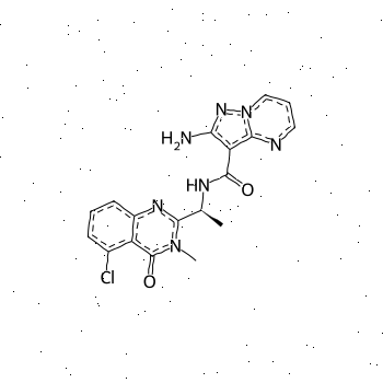 C[C@H](NC(=O)c1c(N)nn2cccnc12)c1nc2cccc(Cl)c2c(=O)n1C